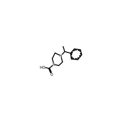 CC(c1ccccc1)N1CCN(C(=O)O)CC1